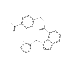 Cc1csc(Cn2ccc3cccc(C(=O)N[C@@H](C)c4ccc(C(=O)O)cc4)c32)n1